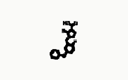 O=C(O)C1CCN(Cc2cc(Oc3ccccc3)ccc2F)C1F